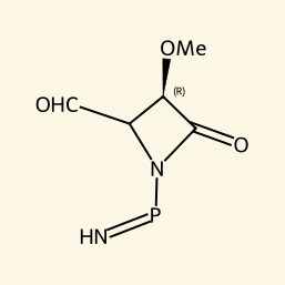 CO[C@H]1C(=O)N(P=N)C1C=O